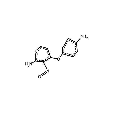 Nc1ccc(Oc2ccnc(N)c2N=O)cc1